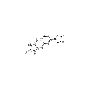 O=c1[nH]c2cc3cc(N4CCCC4)ccc3nc2[nH]1